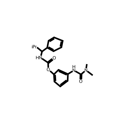 CC(C)C(NC(=O)Oc1cccc(NC(=O)N(C)C)c1)c1ccccc1